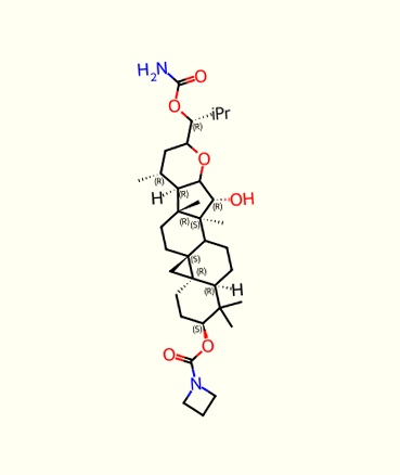 CC(C)[C@@H](OC(N)=O)C1C[C@@H](C)[C@H]2C(O1)[C@H](O)[C@@]1(C)C3CC[C@H]4C(C)(C)[C@@H](OC(=O)N5CCC5)CC[C@@]45C[C@@]35CC[C@]21C